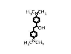 CN(C)c1ccc(CC(O)c2ccc(N(C)C)cc2)cc1